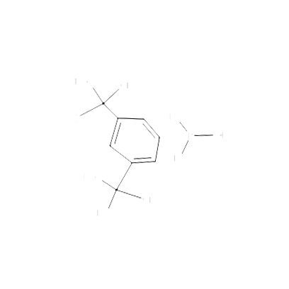 CC(C)(C)c1cccc(C(C)(C)C)c1.OP(O)O